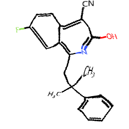 CC(C)(Cc1nc(O)c(C#N)c2ccc(F)cc12)c1ccccc1